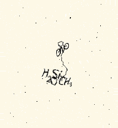 CC(CCCCCCCCCN1C(=O)c2ccccc2C1=O)[SiH2]c1ccccc1